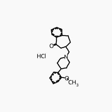 COc1ccccc1C1CCN(CC2CCc3ccccc3C(=O)C2)CC1.Cl